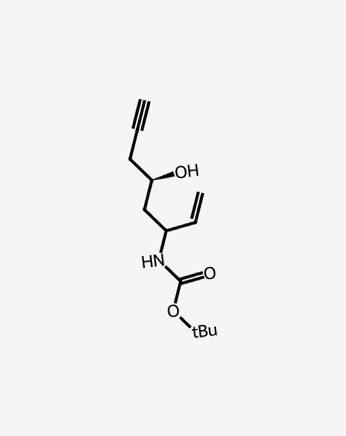 C#CC[C@@H](O)CC(C=C)NC(=O)OC(C)(C)C